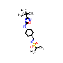 CC(C)S(=O)(=O)NC[C@H]1CC[C@H](Nc2nc(C(C)(C)C)no2)CC1